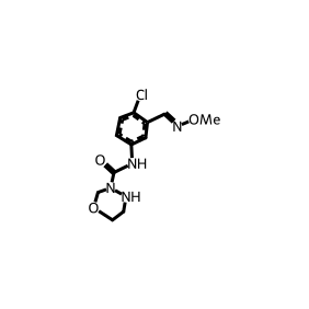 CON=Cc1cc(NC(=O)N2COCCN2)ccc1Cl